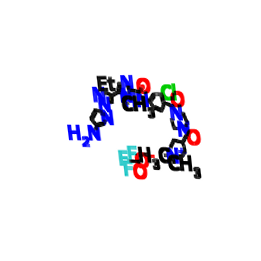 CCc1nn(-c2ccc(N)cn2)cc1-c1cnc(C(=O)Nc2ccc(C(=O)N3CCN(C(=O)C4CC[N+](C)(C)CC4)CC3)c(Cl)c2)n1C.O=C([O-])C(F)(F)F